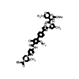 COC(=O)NC(C(=O)N1C[C@@H](C)C[C@H]1c1nc(-c2ccc(-c3cc(Cl)c(C(=O)Nc4ccc(N5CCN(C(=O)C(C)(C)C)C[C@H]5C)nc4)cc3OC(F)(F)F)cc2)c[nH]1)C1CCO[C@@H](C)C1